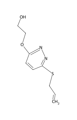 C=CCSc1ccc(OCCO)nn1